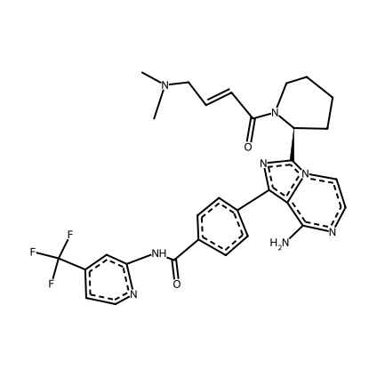 CN(C)C/C=C/C(=O)N1CCCC[C@H]1c1nc(-c2ccc(C(=O)Nc3cc(C(F)(F)F)ccn3)cc2)c2c(N)nccn12